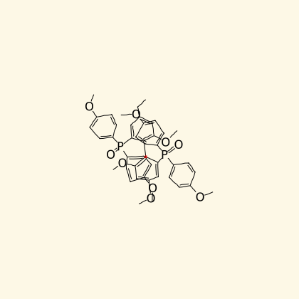 CCc1cc(OC)c(-c2c(OC)cc(OC)cc2P(=O)(c2ccc(OC)cc2)c2ccc(OC)cc2)c(P(=O)(c2ccc(OC)cc2)c2ccc(OC)cc2)c1